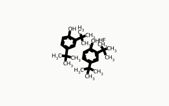 CC(C)(C)c1ccc(O)c(C(C)(C)C)c1.CC(C)(C)c1ccc(O)c(C(C)(C)C)c1.F